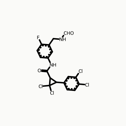 O=CNCc1cc(NC(=O)C2C(c3ccc(Cl)c(Cl)c3)C2(Cl)Cl)ccc1F